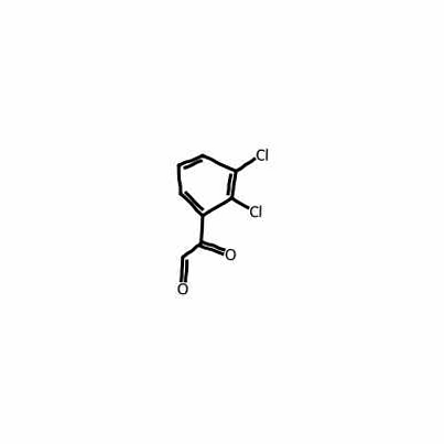 O=CC(=O)c1cccc(Cl)c1Cl